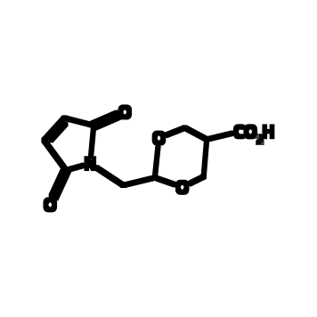 O=C(O)C1COC(CN2C(=O)C=CC2=O)OC1